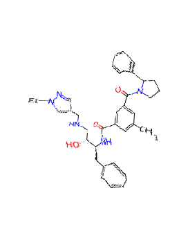 CCn1cc(CNC[C@@H](O)[C@H](Cc2ccccc2)NC(=O)c2cc(C)cc(C(=O)N3CCCC3c3ccccc3)c2)cn1